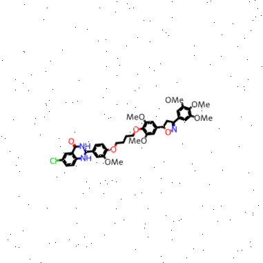 COc1cc(C2NC(=O)c3cc(Cl)ccc3N2)ccc1OCCCCOc1c(OC)cc(C2CC(c3cc(OC)c(OC)c(OC)c3)=NO2)cc1OC